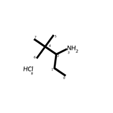 CCC(N)C(C)(C)C.Cl